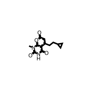 Cn1c(=O)[nH]c(=O)c2c(CCC3CC3)cc(=O)oc21